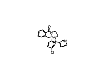 O=C(c1cccnc1)N1CCN2C(=O)c3ccccc3CC12c1ccc(Cl)cc1